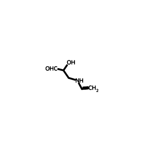 C=CNCC(O)C=O